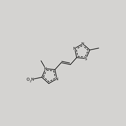 Cc1nnc(/C=C/c2ncc([N+](=O)[O-])n2C)s1